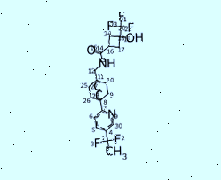 CC(F)(F)c1ccc(C23CCC(CNC(=O)C4CC(O)(C(F)(F)F)C4)(CC2)CC3)nc1